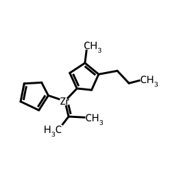 CCCC1=C(C)C=[C]([Zr]([C]2=CC=CC2)=[C](C)C)C1